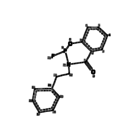 O=C1c2ccccc2OP(F)N1CCc1ccccc1